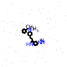 CC(c1ccccc1)N(C)C1CCC(CCc2c[nH]c3ccc(-n4cnnc4)cc23)CC1